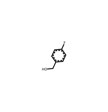 OCc1[c]cc(F)cc1